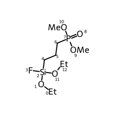 CCO[Si](F)(CCCP(=O)(OC)OC)OCC